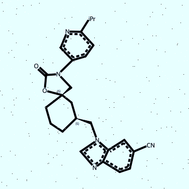 CC(C)c1ccc(N2C[C@@]3(CCC[C@H](Cn4cnc5ccc(C#N)cc54)C3)OC2=O)cn1